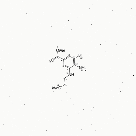 COCCNc1cc(C(=O)OC)cc(Br)c1N